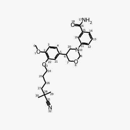 COc1ccc(C2COCN(c3cccc(C(N)=O)c3)C2)cc1OCCCCC(C)(C)C#N